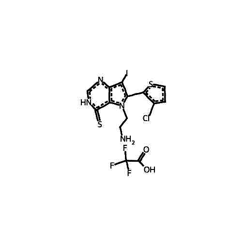 NCCn1c(-c2sccc2Cl)c(I)c2nc[nH]c(=S)c21.O=C(O)C(F)(F)F